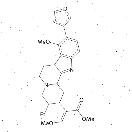 CCC1CN2CCC3C(=Nc4ccc(-c5ccoc5)c(OC)c43)C2C[C@@H]1/C(=C\OC)C(=O)OC